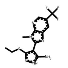 CCSc1n[nH]c(N)c1-c1nc2cc(C(F)(F)F)cnc2n1C